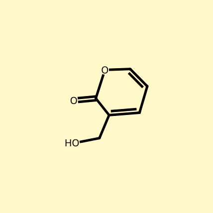 O=c1occcc1CO